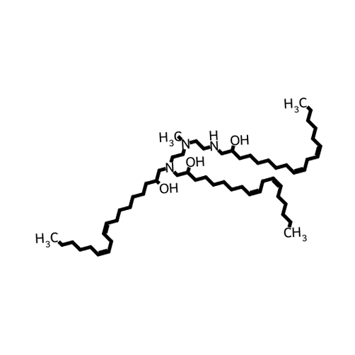 CCCCC/C=C\C/C=C\CCCCCCC(O)CNCCN(C)CCN(CC(O)CCCCCC/C=C\C/C=C\CCCCC)CC(O)CCCCCC/C=C\C/C=C\CCCCC